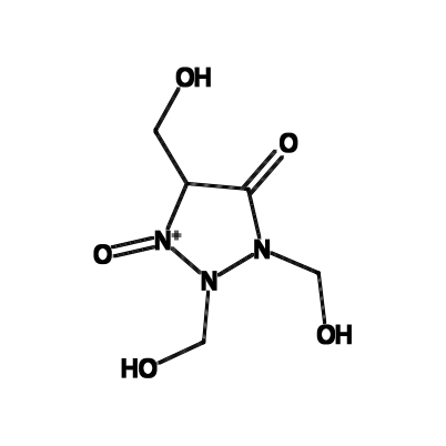 O=C1C(CO)[N+](=O)N(CO)N1CO